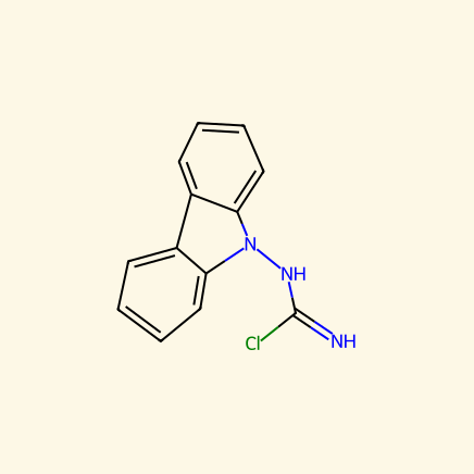 N=C(Cl)Nn1c2ccccc2c2ccccc21